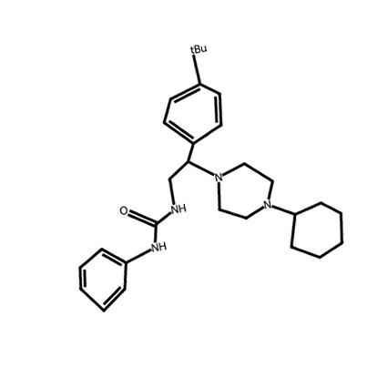 CC(C)(C)c1ccc(C(CNC(=O)Nc2ccccc2)N2CCN(C3CCCCC3)CC2)cc1